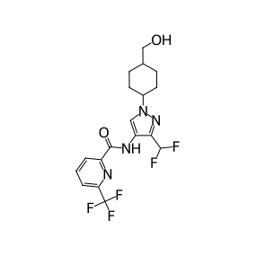 O=C(Nc1cn(C2CCC(CO)CC2)nc1C(F)F)c1cccc(C(F)(F)F)n1